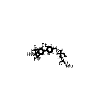 CCc1cc(CN2CC3(CCN(C(=O)OC(C)(C)C)C3)C2)ccc1-c1cc2c3c(c1)C(F)(F)C3(O)C2(F)F